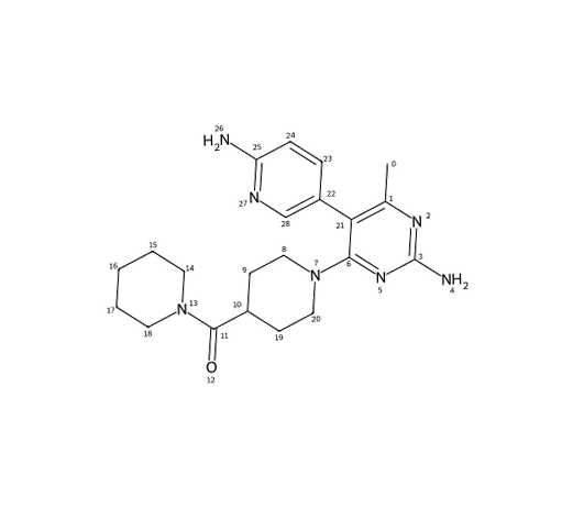 Cc1nc(N)nc(N2CCC(C(=O)N3CCCCC3)CC2)c1-c1ccc(N)nc1